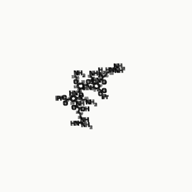 CC(C)OC(=O)c1cc(NC(=O)c2cc(OCCN)cc(C(=O)Nc3cc(C(=O)OC(C)C)cc(NC(=O)[C@H](O)CCCNC(=N)N)c3SCCN)c2)c(SCCN)c(NC(=O)[C@H](N)CCCNC(=N)N)c1